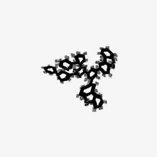 c1ccc(-c2cccc(-c3nc(-c4cc(-c5ccc6sc7ccccc7c6c5)cc(-c5ccc6sc7ccccc7c6c5)c4)nc(-c4ccccc4-c4cccnc4)n3)c2)cc1